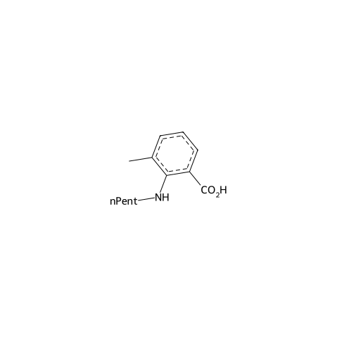 CCCCCNc1c(C)cccc1C(=O)O